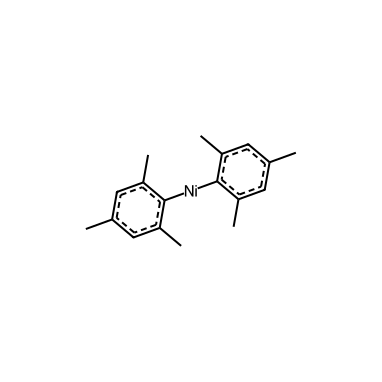 Cc1cc(C)[c]([Ni][c]2c(C)cc(C)cc2C)c(C)c1